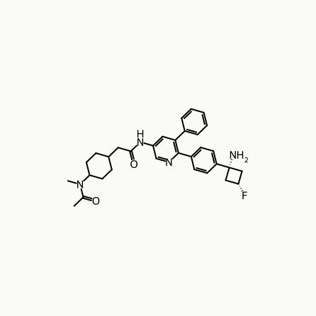 CC(=O)N(C)C1CCC(CC(=O)Nc2cnc(-c3ccc([C@]4(N)C[C@@H](F)C4)cc3)c(-c3ccccc3)c2)CC1